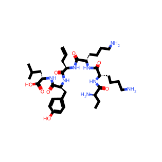 C=CC[C@@H](NC(=O)[C@H](CCCCN)NC(=O)[C@H](CCCCN)NC(=O)[C@H](N)CC)C(=O)N[C@@H](Cc1ccc(O)cc1)C(=O)N[C@@H](CC(C)C)C(=O)O